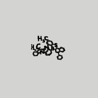 Cc1cc2c3c(c1)-n1c4c(cccc4n4c5ccccc5c(C)c14)B3c1cc(-c3ccccc3)c3ccccc3c1S2